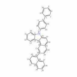 c1ccc(-c2ccc(-n3c4ccccc4c4c5cc(-c6cccc7ccccc67)ccc5ccc43)cc2)cc1